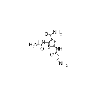 NCCC(=O)Nc1cc(C(N)=O)c(NC(N)=O)s1